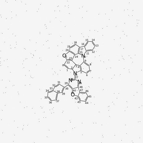 C1=CC2C3c4c(cccc4-n4c5ccccc5c5ccc6oc1c3c6c54)N2c1nc(-c2ccc3ccccc3c2)c2oc3ccccc3c2n1